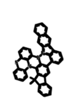 CC1(C)c2ccccc2-c2cc3c4c(c21)N1c2ccccc2Sc2cccc(c21)B4n1c2cc4ccccc4cc2c2cccc-3c21